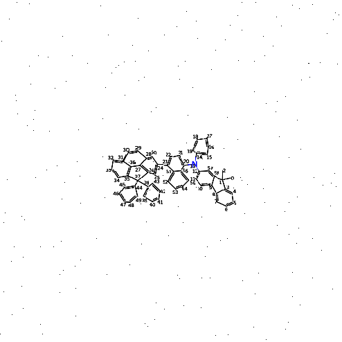 CC1(C)c2ccccc2-c2ccc(N(c3ccccc3)c3ccc(-c4cc5c6c(ccc7cccc(c76)C5(c5ccccc5)c5ccccc5)c4)c4ccccc34)cc21